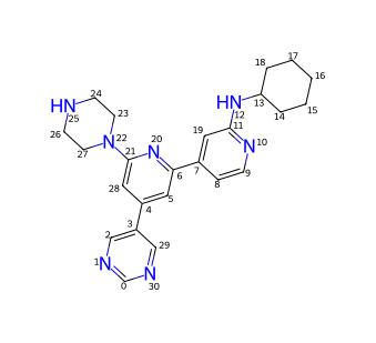 c1ncc(-c2cc(-c3ccnc(NC4CCCCC4)c3)nc(N3CCNCC3)c2)cn1